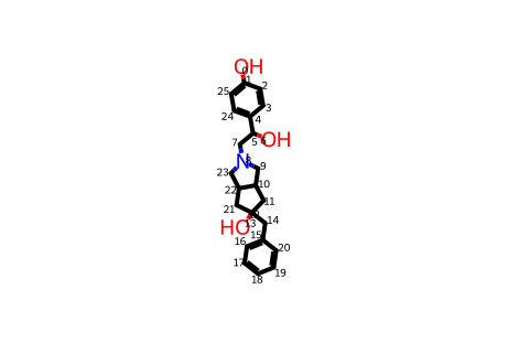 Oc1ccc(C(O)CN2CC3CC(O)(Cc4ccccc4)CC3C2)cc1